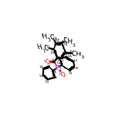 Cc1cc(C(=O)P(=O)(c2ccccc2)c2ccccc2)c(C)c(C)c1C